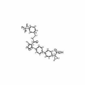 Cc1noc(-c2ccc(-c3ccc(C4(C(=O)O)CC4)cc3)cc2)c1C(=O)CCc1cccc(C(F)(F)F)c1